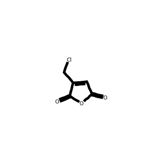 O=C1C=C(CCl)C(=O)O1